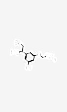 CCOc1cc(Br)cc(C(O)CBr)c1